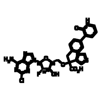 Nc1nc(Cl)nc2c1ncn2[C@@H]1O[C@H](COC(Cc2ccc(-c3ccc[nH]c3=O)cc2)(C(=O)O)c2cscn2)[C@@H](O)[C@@H]1F